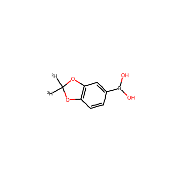 [2H]C1([2H])Oc2ccc(B(O)O)cc2O1